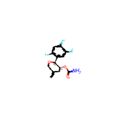 C=C1CO[C@@H](c2cc(F)c(F)cc2F)[C@@H](OC(N)=O)C1